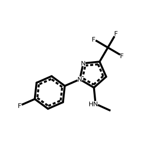 CNc1cc(C(F)(F)F)nn1-c1ccc(F)cc1